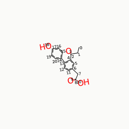 CCC(=O)c1cc(CC(=O)O)ccc1-c1ccc(O)cc1